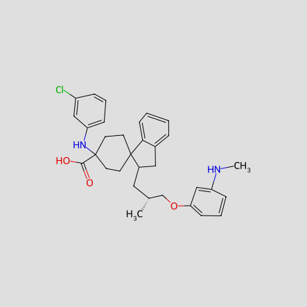 CNc1cccc(OC[C@H](C)CC2Cc3ccccc3C23CCC(Nc2cccc(Cl)c2)(C(=O)O)CC3)c1